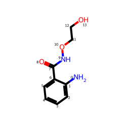 Nc1ccccc1C(=O)NOCCO